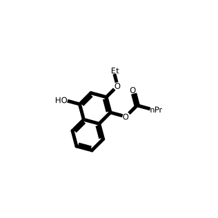 CCCC(=O)Oc1c(OCC)cc(O)c2ccccc12